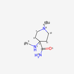 CC(C)NC1(C(N)=O)CCN(C(C)(C)C)CC1